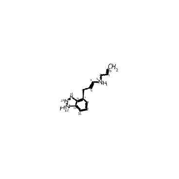 C=CCNC=CCc1cccc2[nH]nnc12